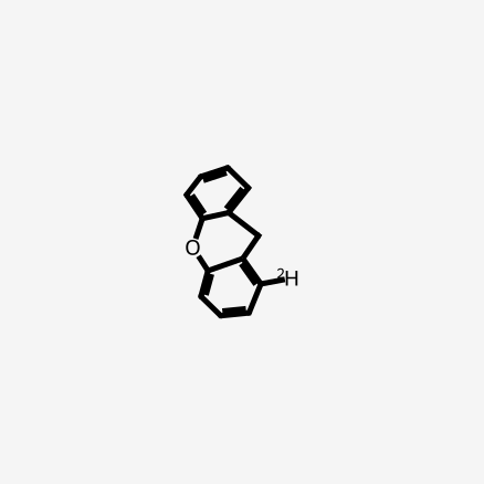 [2H]c1cccc2c1Cc1ccccc1O2